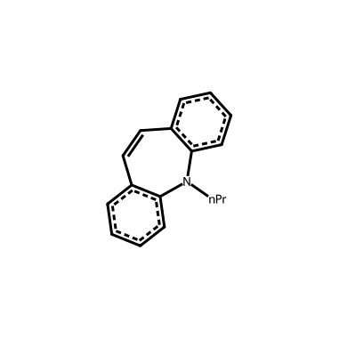 CCCN1c2ccccc2C=Cc2ccccc21